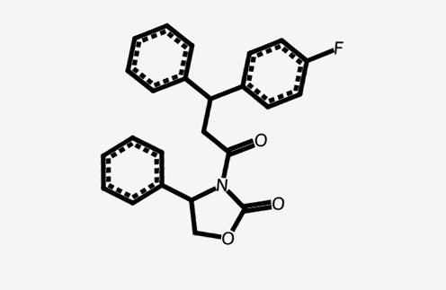 O=C(CC(c1ccccc1)c1ccc(F)cc1)N1C(=O)OCC1c1ccccc1